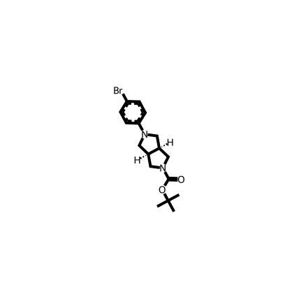 CC(C)(C)OC(=O)N1C[C@@H]2CN(c3ccc(Br)cc3)C[C@@H]2C1